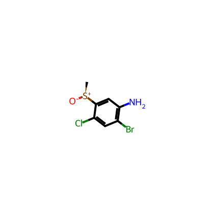 C[S@+]([O-])c1cc(N)c(Br)cc1Cl